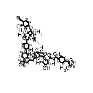 Cc1ncsc1-c1ccc([C@H](C)NC(=O)[C@@H]2C[C@@H](O)CN2C(=O)[C@@H](NC(=O)CCCC2(N3CCN(c4ccc(C(=O)NC5C(C)(C)C(Oc6ccc(C#N)c(Cl)c6)C5(C)C)cn4)CC3)COC2)C(C)(C)C)cc1